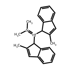 CC1=Cc2ccccc2[CH]1[Hf]([CH]1C(C)=Cc2ccccc21)=[Si](C)C